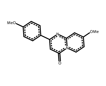 COc1ccc(-c2cc(=O)n3ccc(OC)cc3n2)cc1